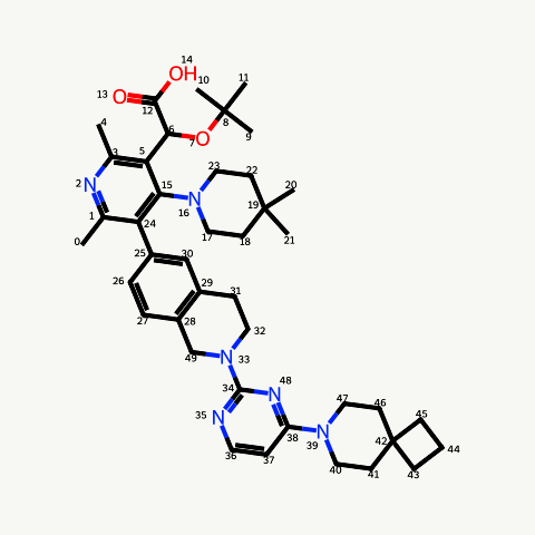 Cc1nc(C)c(C(OC(C)(C)C)C(=O)O)c(N2CCC(C)(C)CC2)c1-c1ccc2c(c1)CCN(c1nccc(N3CCC4(CCC4)CC3)n1)C2